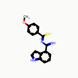 COc1ccc(/C(S)=N/C(=N)c2cccc3[nH]ccc23)cc1